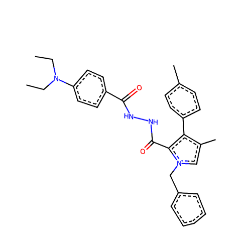 CCN(CC)c1ccc(C(=O)NNC(=O)c2c(-c3ccc(C)cc3)c(C)cn2Cc2ccccc2)cc1